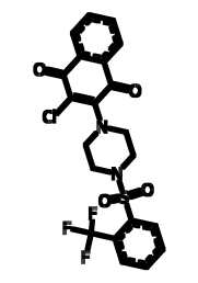 O=C1C(Cl)=C(N2CCN(S(=O)(=O)c3ccccc3C(F)(F)F)CC2)C(=O)c2ccccc21